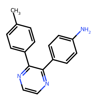 Cc1ccc(-c2nccnc2-c2ccc(N)cc2)cc1